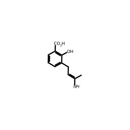 CCC/C(C)=C/Cc1cccc(C(=O)O)c1O